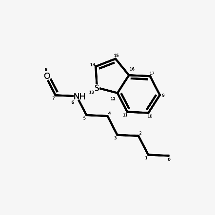 CCCCCCNC=O.c1ccc2sccc2c1